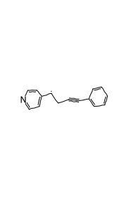 C(#Cc1ccccc1)C[CH]c1ccncc1